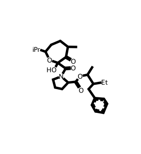 CCC(Cc1ccccc1)C(C)OC(=O)C1CCCN1C(=O)C1(O)OC(C(C)C)CCC(C)C1=O